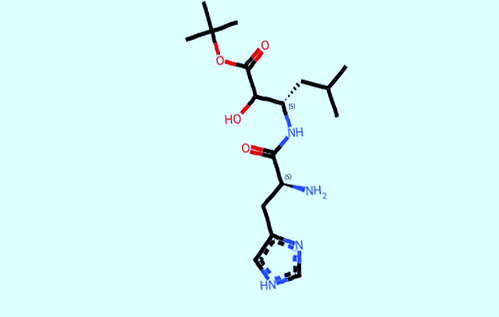 CC(C)C[C@H](NC(=O)[C@@H](N)Cc1c[nH]cn1)C(O)C(=O)OC(C)(C)C